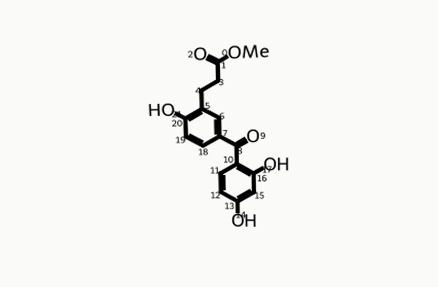 COC(=O)CCc1cc(C(=O)c2ccc(O)cc2O)ccc1O